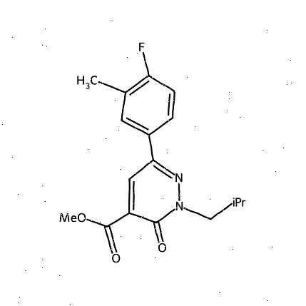 COC(=O)c1cc(-c2ccc(F)c(C)c2)nn(CC(C)C)c1=O